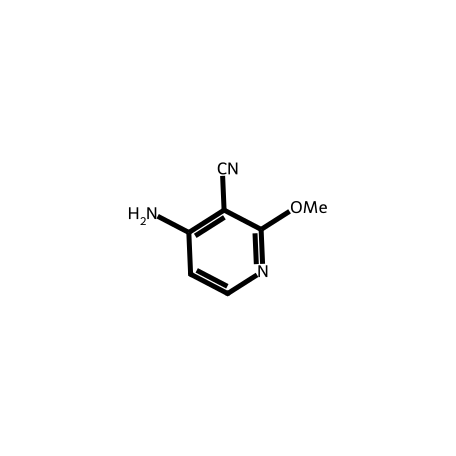 COc1nccc(N)c1C#N